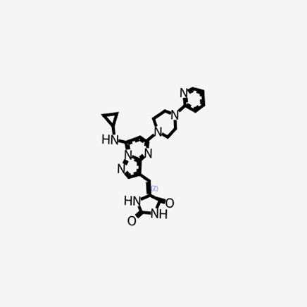 O=C1NC(=O)/C(=C/c2cnn3c(NC4CC4)cc(N4CCN(c5ccccn5)CC4)nc23)N1